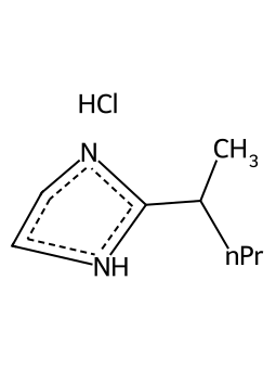 CCCC(C)c1ncc[nH]1.Cl